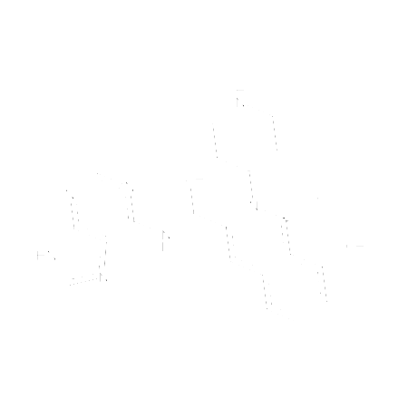 Cc1cccc2cc(C(C)Nc3ncnc4[nH]cnc34)n(C3CCNCC3)c(=O)c12